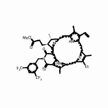 C=Cc1c(C)c2cc3nc(c4c5[nH]c(cc6nc(cc1[nH]2)C(C)=C6CC)c(C)c5C(=O)N(Cc1cc(C(F)(F)F)cc(C(F)(F)F)c1)C4=O)[C@@H](CCC(=O)OC)[C@@H]3C